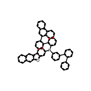 c1ccc(-c2ccccc2-c2cccc(N(c3ccc4c(c3)oc3cc5ccccc5cc34)c3ccccc3-c3ccccc3-c3cc4ccccc4c4ccccc34)c2)cc1